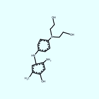 Cc1cc(Nc2ccc(N(CCO)CCO)cc2)c(N)cc1O